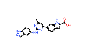 Cc1cc(-c2ccc3cc(C(=O)O)[nH]c3c2)nc(Nc2ccc3[nH]ncc3c2)n1